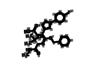 CNC(=O)[C@@H](N=C(OCc1ccccc1)[C@@H](CC(=O)O)c1ccn(-c2ccc(F)cc2)c1)C(C)(C)C